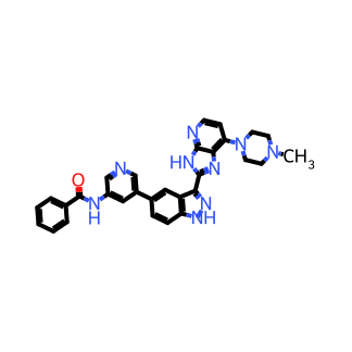 CN1CCN(c2ccnc3[nH]c(-c4n[nH]c5ccc(-c6cncc(NC(=O)c7ccccc7)c6)cc45)nc23)CC1